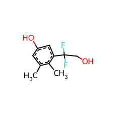 Cc1cc(O)cc(C(F)(F)CO)c1C